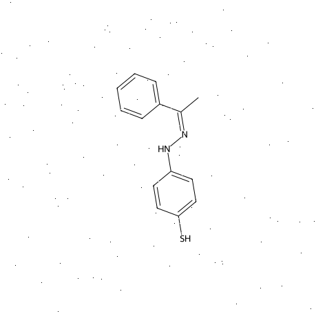 CC(=NNc1ccc(S)cc1)c1ccccc1